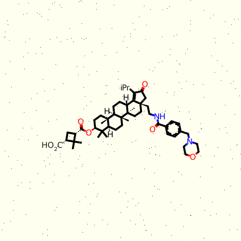 CC(C)C1=C2[C@H]3CC[C@@H]4[C@@]5(C)CC[C@H](OC(=O)[C@H]6C[C@@H](C(=O)O)C6(C)C)C(C)(C)[C@@H]5CC[C@@]4(C)[C@]3(C)CC[C@@]2(CCNC(=O)c2ccc(CN3CCOCC3)cc2)CC1=O